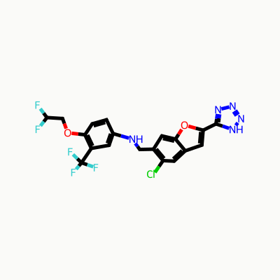 FC(F)COc1ccc(NCc2cc3oc(-c4nnn[nH]4)cc3cc2Cl)cc1C(F)(F)F